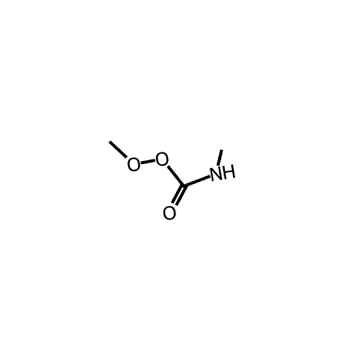 CNC(=O)OOC